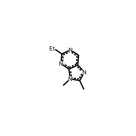 CCc1ncc2nc(C)n(C)c2n1